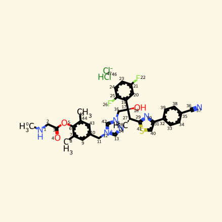 CNCC(=O)Oc1c(C)cc(C[n+]2cnn(C[C@](O)(c3cc(F)ccc3F)[C@@H](C)c3nc(-c4ccc(C#N)cc4)cs3)c2)cc1C.Cl.[Cl-]